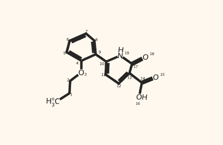 CCCOc1ccccc1-c1ccc(C(=O)O)c(=O)[nH]1